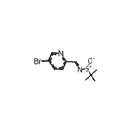 CC(C)(C)[S@@+]([O-])/N=C/c1ccc(Br)cn1